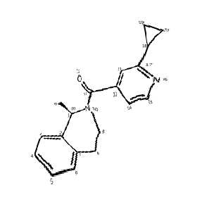 C[C@@H]1c2ccccc2CCN1C(=O)c1ccnc(C2CC2)c1